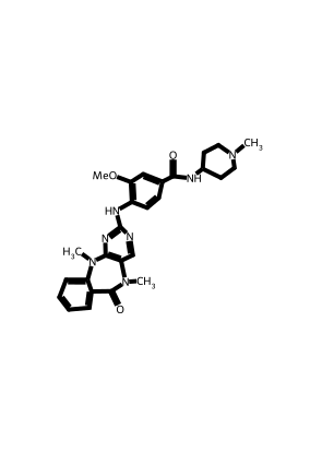 COc1cc(C(=O)NC2CCN(C)CC2)ccc1Nc1ncc2c(n1)N(C)c1ccccc1C(=O)N2C